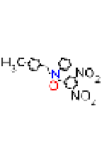 Cc1ccc(CCN(C(=O)c2cc([N+](=O)[O-])cc([N+](=O)[O-])c2)c2ccccc2)cc1